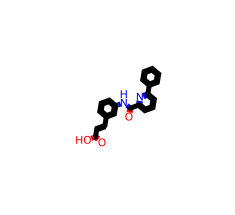 O=C(O)C=Cc1cccc(NC(=O)c2cccc(-c3ccccc3)n2)c1